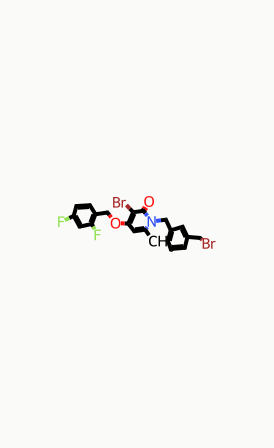 Cc1cc(OCc2ccc(F)cc2F)c(Br)c(=O)n1Cc1cccc(CBr)c1